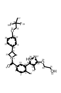 Cc1ccc(C(=O)N2CC(c3ccc(OCC(C)(F)F)cc3)C2)cc1-c1[nH]nc(OCCO)c1C